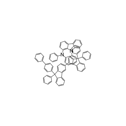 c1ccc(-c2ccc(C3(c4ccccc4)c4ccccc4-c4cc(-c5cccc(-n6c7ccccc7c7cccc(N(c8ccccc8)c8ccc9c(c8)C(c8ccccc8)(c8ccccc8)c8ccccc8-9)c76)c5)ccc43)cc2)cc1